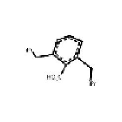 CC(C)Cc1cccc(CC(C)C)c1C(=O)O